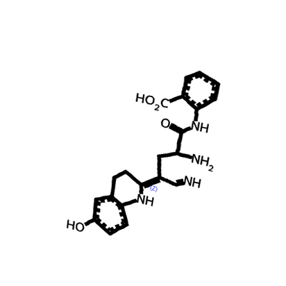 N=C/C(CC(N)C(=O)Nc1ccccc1C(=O)O)=C1/CCc2cc(O)ccc2N1